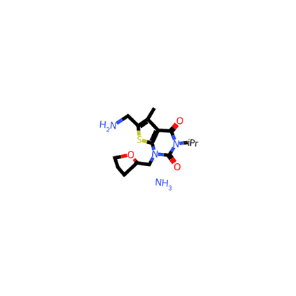 Cc1c(CN)sc2c1c(=O)n(C(C)C)c(=O)n2CC1CCCO1.N